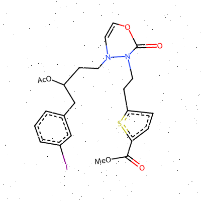 COC(=O)c1ccc(CCN2C(=O)OC=CN2CCC(Cc2cccc(I)c2)OC(C)=O)s1